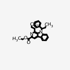 CCCc1nc(C(=O)OCC)cc2c3ccccc3n(C(CC)c3ccccc3)c12